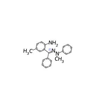 Cc1ccc(N)c(/C(=N/N(C)c2ccccc2)c2ccccc2)c1